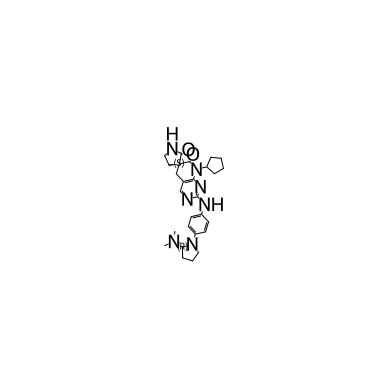 CN(C)[C@H]1CCCN1c1ccc(Nc2ncc3c(n2)N(C2CCCC2)C(=O)[C@]2(CCNC2=O)C3)cc1